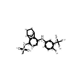 CS(=O)(=O)Oc1ncc(Nc2ccc(F)c(C(F)(F)F)c2)c2c1C1CCC2C1